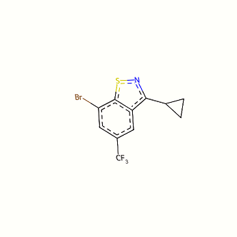 FC(F)(F)c1cc(Br)c2snc(C3CC3)c2c1